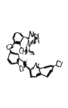 Cc1c(Oc2ccc3oc(-c4ccc5ccc(Cl)cc5n4)cc3c2)cccc1-c1nnn[nH]1